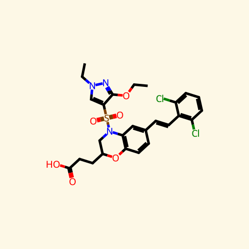 CCOc1nn(CC)cc1S(=O)(=O)N1CC(CCC(=O)O)Oc2ccc(C=Cc3c(Cl)cccc3Cl)cc21